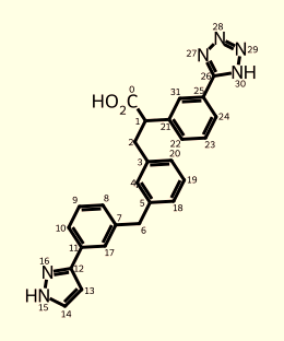 O=C(O)C(Cc1[c]c(Cc2cccc(-c3cc[nH]n3)c2)ccc1)c1cccc(-c2nnn[nH]2)c1